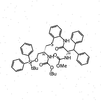 COC(=O)N[C@H](C(=O)Nc1ccccc1SC[C@@H](CO[Si](c1ccccc1)(c1ccccc1)C(C)(C)C)NC(=O)OC(C)(C)C)C(c1ccccc1)c1ccccc1